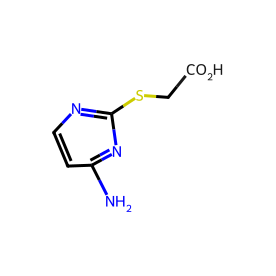 Nc1ccnc(SCC(=O)O)n1